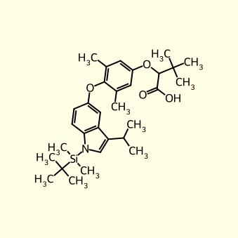 Cc1cc(OC(C(=O)O)C(C)(C)C)cc(C)c1Oc1ccc2c(c1)c(C(C)C)cn2[Si](C)(C)C(C)(C)C